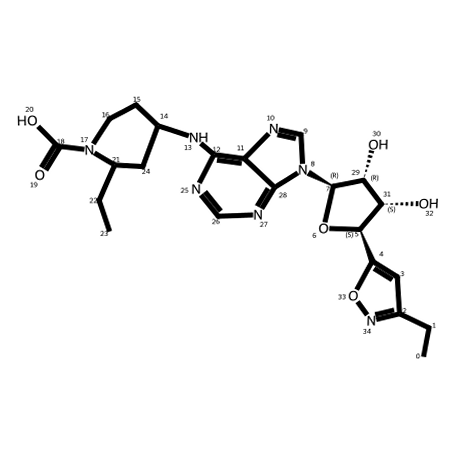 CCc1cc([C@H]2O[C@@H](n3cnc4c(NC5CCN(C(=O)O)C(CC)C5)ncnc43)[C@H](O)[C@@H]2O)on1